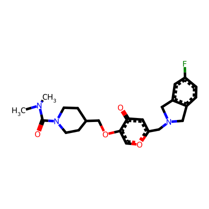 CN(C)C(=O)N1CCC(COc2coc(CN3Cc4ccc(F)cc4C3)cc2=O)CC1